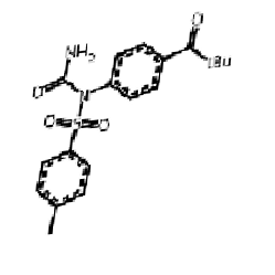 Cc1ccc(S(=O)(=O)N(C(N)=O)c2ccc(C(=O)C(C)(C)C)cc2)cc1